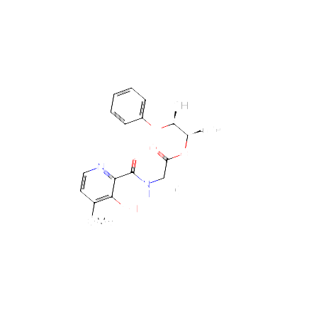 CCCCC[C@@H](OC(=O)[C@H](C)NC(=O)c1nccc(OC)c1O)[C@H](C)Oc1ccccc1